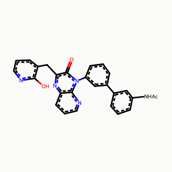 CC(=O)Nc1cccc(-c2cccc(-n3c(=O)c(Cc4cccnc4O)nc4cccnc43)c2)c1